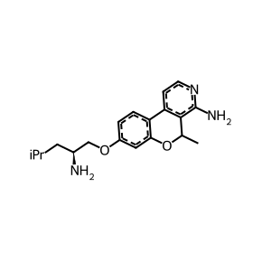 CC(C)C[C@H](N)COc1ccc2c(c1)OC(C)c1c-2ccnc1N